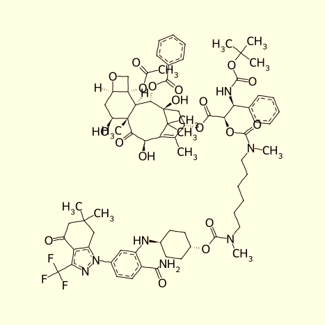 CC(=O)O[C@@]12CO[C@@H]1C[C@H](O)[C@@]1(C)C(=O)[C@H](O)C3=C(C)[C@@H](OC(=O)[C@H](OC(=O)N(C)CCCCCCN(C)C(=O)O[C@H]4CC[C@H](Nc5cc(-n6nc(C(F)(F)F)c7c6CC(C)(C)CC7=O)ccc5C(N)=O)CC4)[C@@H](NC(=O)OC(C)(C)C)c4ccccc4)C[C@@](O)([C@@H](OC(=O)c4ccccc4)[C@H]21)C3(C)C